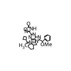 COC(c1ccccc1)c1nc2nc(-c3noc(=O)[nH]3)nc(N[C@H](C)C3CCC3)c2n1CC1CCCCC1